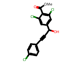 COC(=O)c1c(Cl)cc(C(O)C#Cc2ccc(Cl)cc2)cc1Cl